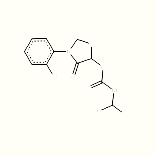 CC(C)NC(=O)OC1SCN(c2ccccc2Cl)C1=O